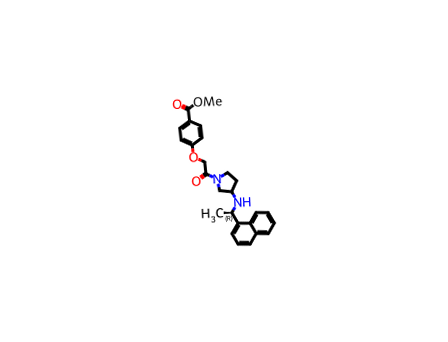 COC(=O)c1ccc(OCC(=O)N2CCC(N[C@H](C)c3cccc4ccccc34)C2)cc1